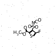 COC(=O)c1scc(F)c1S(=O)(=O)N=C=O